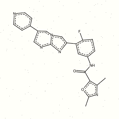 Cc1nc(C)c(C(=O)Nc2ccc(F)c(-c3cn4cc(-c5ccncc5)cnc4n3)c2)o1